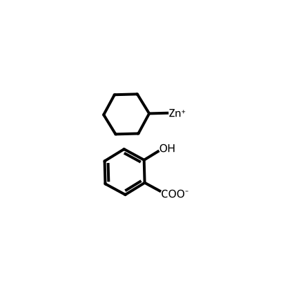 O=C([O-])c1ccccc1O.[Zn+][CH]1CCCCC1